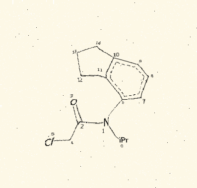 CC(C)N(C(=O)CCl)c1cccc2c1CCC2